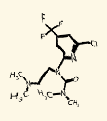 CN(C)CCN(C(=O)N(C)C)c1cc(C(F)(F)F)cc(Cl)n1